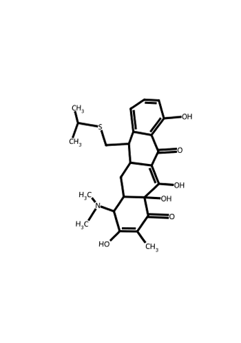 CC1=C(O)C(N(C)C)C2CC3C(=C(O)C2(O)C1=O)C(=O)c1c(O)cccc1C3CSC(C)C